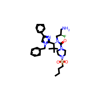 CCCCS(=O)(=O)N1CCN(C(=O)N(C[C@H](F)CN)[C@@H](c2nc(-c3ccccc3)cn2Cc2ccccc2)C(C)(C)C)CC1